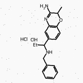 CCC(NCc1ccccc1)c1ccc2c(c1)N=C(N)C(C)O2.Cl.Cl